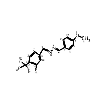 COc1ccc(C=NN=Cc2ccc(C(F)(F)F)c(F)c2)cc1